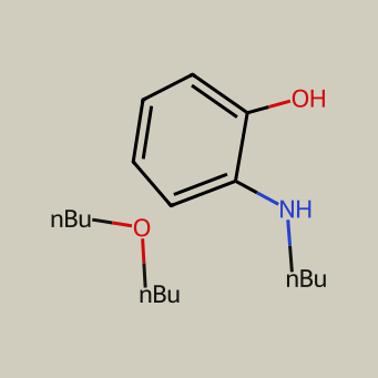 CCCCNc1ccccc1O.CCCCOCCCC